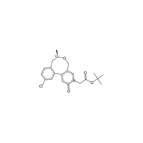 C[C@@H]1Cc2ccc(Cl)cc2-c2cc(=O)n(CC(=O)OC(C)(C)C)cc2CO1